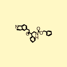 O=C(NCC(C(=O)Cc1ccc2cnccc2c1)c1ccccc1)OCc1ccccc1